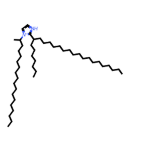 CCCCCCCCCCCCCCCCCCC(CCCCCCC)c1[nH]cc[n+]1C(C)CCCCCCCCCCCCCCCC